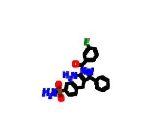 Nc1c(Cc2ccc(S(N)(=O)=O)cc2)c(-c2ccccc2)nn1C(=O)c1cccc(F)c1